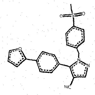 CS(=O)(=O)c1ccc(-n2ncc(C#N)c2-c2ccc(-c3ccco3)cc2)cc1